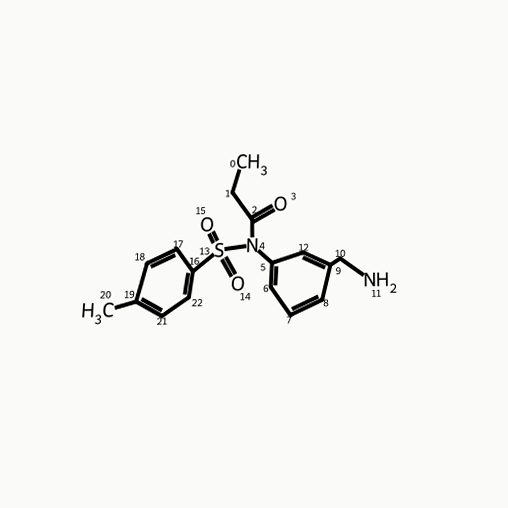 CCC(=O)N(c1cccc(CN)c1)S(=O)(=O)c1ccc(C)cc1